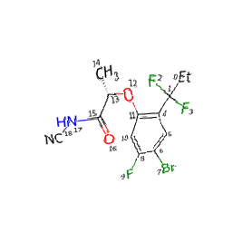 CCC(F)(F)c1cc(Br)c(F)cc1O[C@@H](C)C(=O)NC#N